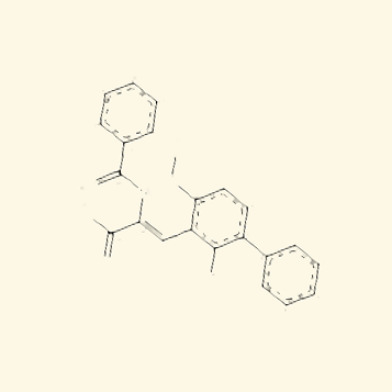 COc1ccc(-c2ccccc2)c(Cl)c1C=C(NC(=O)c1ccccc1)C(=O)O